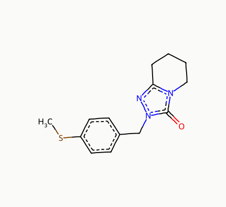 CSc1ccc(Cn2nc3n(c2=O)CCCC3)cc1